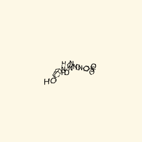 CS(=O)(=O)c1ccc(N2CCN(c3nccc(C(=O)N[C@H]4C5CC6CC4C[C@](O)(C6)C5)n3)CC2)cc1